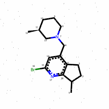 CC1CCc2c(CN3CCC[C@H](C)C3)cc(Br)nc21